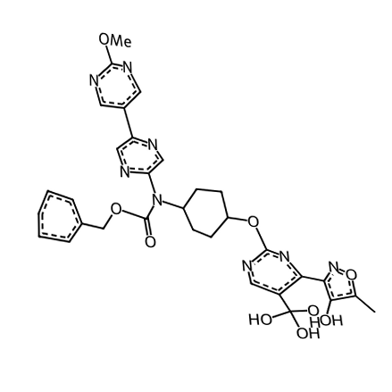 COc1ncc(-c2cnc(N(C(=O)OCc3ccccc3)C3CCC(Oc4ncc(C(O)(O)O)c(-c5noc(C)c5O)n4)CC3)cn2)cn1